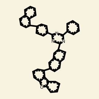 c1ccc(-c2nc(-c3ccc(-c4cccc5ccccc45)cc3)nc(-c3ccc4ccc(-c5cccc6oc7ccccc7c56)cc4c3)n2)cc1